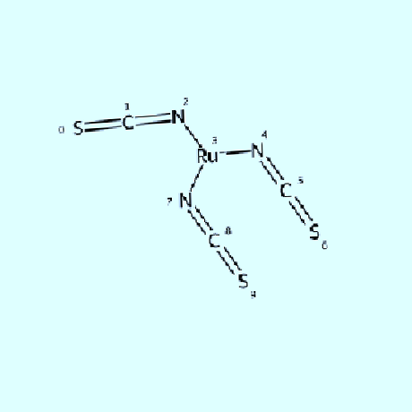 S=C=[N][Ru-]([N]=C=S)[N]=C=S